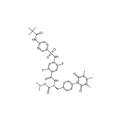 Cc1c(C)n(C)c(=O)n(-c2ccc(C[C@H](NC(=O)c3cc(F)c(NS(=O)(=O)c4ccc(NC(=O)C(C)(C)C)nc4)cc3F)C(=O)OC(C)C)cc2)c1=O